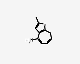 Cc1cc2c(s1)CC=CC=C2N